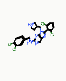 Clc1ccc(CNc2ncc3nc(-c4c(Cl)cccc4Cl)n(CC4CCNC4)c3n2)cc1Cl